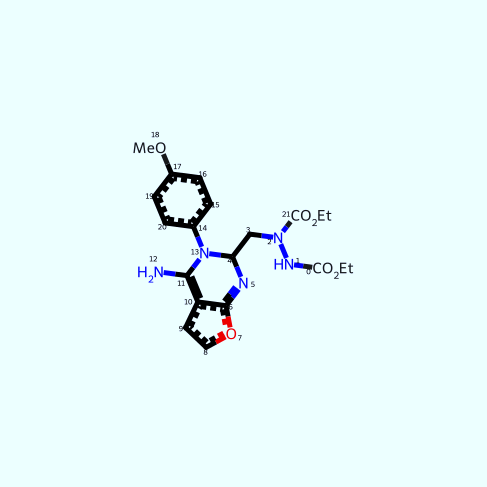 CCOC(=O)NN(CC1N=c2occc2=C(N)N1c1ccc(OC)cc1)C(=O)OCC